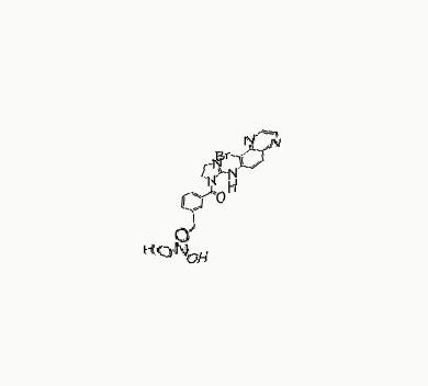 O=C(c1cccc(CON(O)O)c1)N1CCN=C1Nc1ccc2nccnc2c1Br